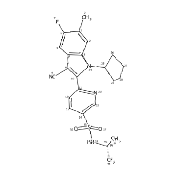 Cc1cc2c(cc1F)c(C#N)c(-c1ccc(S(=O)(=O)N[C@H](C)C(F)(F)F)cn1)n2C1CCCC1